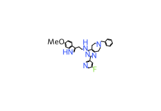 COc1ccc2c(CCNc3nc(-c4cncc(F)c4)nc4c3CCN(Cc3ccccc3)CC4)c[nH]c2c1